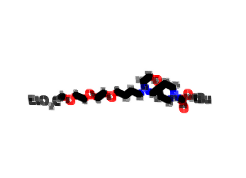 CCOC(=O)COCCOCCOCCCCN1CCOC2(CCN(C(=O)OC(C)(C)C)CC2)C1